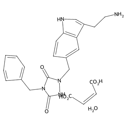 NCCc1c[nH]c2ccc(Cn3[nH]c(=O)n(Cc4ccccc4)c3=O)cc12.O.O=C(O)/C=C\C(=O)O